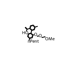 C=C(C)c1ccc(C)cc1-c1c(O)cc(CCCCC)cc1OCOCCOC